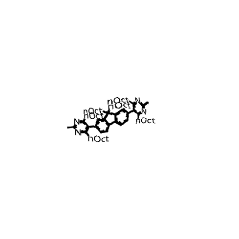 CCCCCCCCc1nc(C)nc(CCCCCCCC)c1-c1ccc2c(c1)C(CCCCCCCC)(CCCCCCCC)c1cc(-c3c(CCCCCCCC)nc(C)nc3CCCCCCCC)ccc1-2